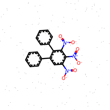 O=[N+]([O-])c1cc(-c2ccccc2)c(-c2ccccc2)c([N+](=O)[O-])c1[N+](=O)[O-]